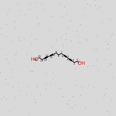 OCCC#CC#CCCCC#CC#CCCO